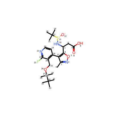 Cc1noc(C(CC(=O)O)N[S@@+]([O-])C(C)(C)C)c1-c1ccnc(F)c1CO[Si](C)(C)C(C)(C)C